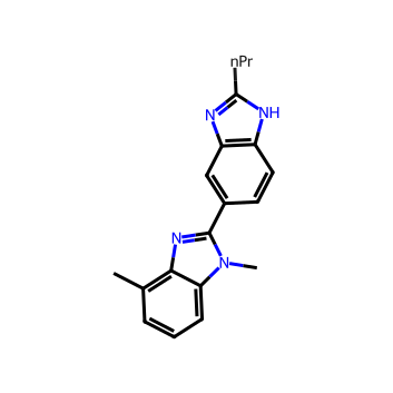 CCCc1nc2cc(-c3nc4c(C)cccc4n3C)ccc2[nH]1